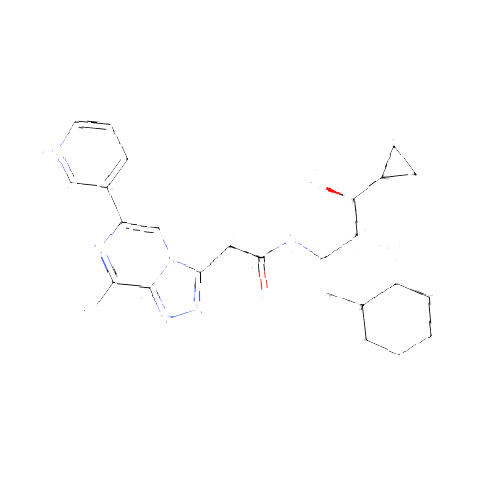 CCCc1nc(-c2cccnc2)cn2c(CC(=O)N[C@@H](CC3CCCCC3)[C@@H](O)[C@@H](O)C3CC3)nnc12